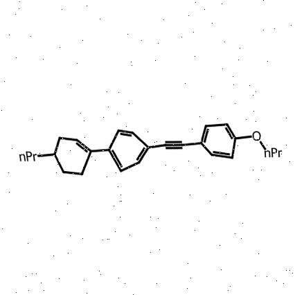 CCCOc1ccc(C#Cc2ccc(C3=CCC(CCC)CC3)cc2)cc1